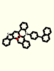 c1ccc(N(c2ccc(-c3cccc4ccccc34)cc2)c2cccc3ccccc23)c(-c2ccc3c(c2)sc2ccccc23)c1